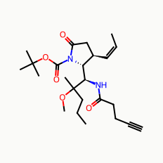 C#CCCC(=O)N[C@H]([C@H]1[C@H](/C=C\C)CC(=O)N1C(=O)OC(C)(C)C)C(C)(CCC)OC